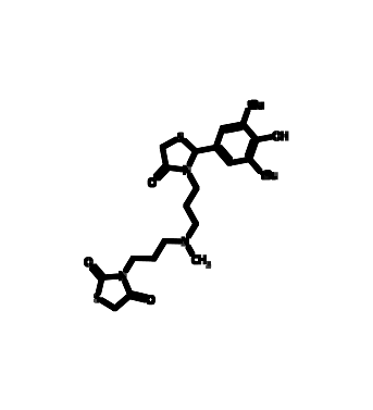 CN(CCCN1C(=O)CSC1=O)CCCN1C(=O)CSC1c1cc(C(C)(C)C)c(O)c(C(C)(C)C)c1